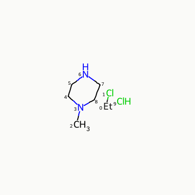 CCCl.CN1CCNCC1.Cl